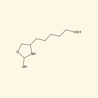 CCCCCCCCCCCCCC1COC(CCC)N1